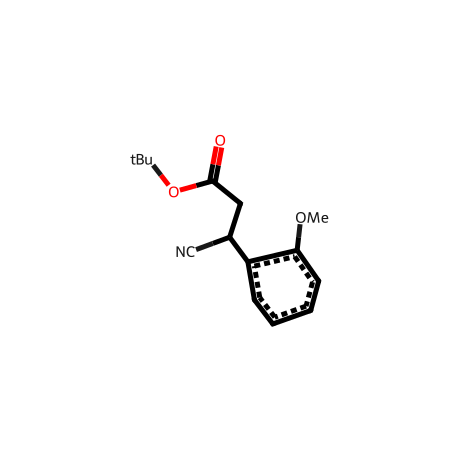 COc1ccccc1C(C#N)CC(=O)OC(C)(C)C